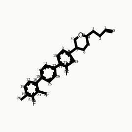 C=CCCC1CCC(c2ccc(-c3ccc(-c4ccc(C)c(F)c4F)cc3)c(F)c2)CO1